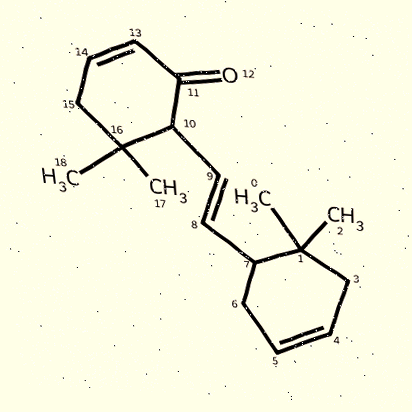 CC1(C)CC=CCC1C=CC1C(=O)C=CCC1(C)C